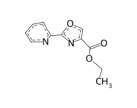 CCOC(=O)c1coc(-c2ccccn2)n1